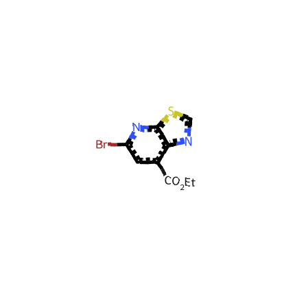 CCOC(=O)c1cc(Br)nc2scnc12